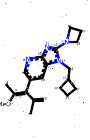 C=C(C)/C(=C(/C)OC)c1cnc2nc(N3CCC3)n(CC3CCC3)c2c1